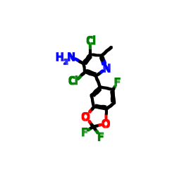 Cc1nc(-c2cc3c(cc2F)OC(F)(F)O3)c(Cl)c(N)c1Cl